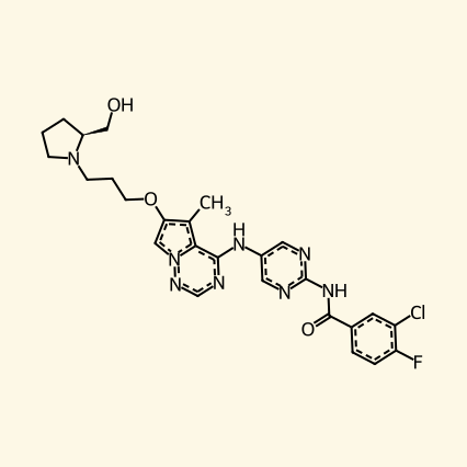 Cc1c(OCCCN2CCC[C@H]2CO)cn2ncnc(Nc3cnc(NC(=O)c4ccc(F)c(Cl)c4)nc3)c12